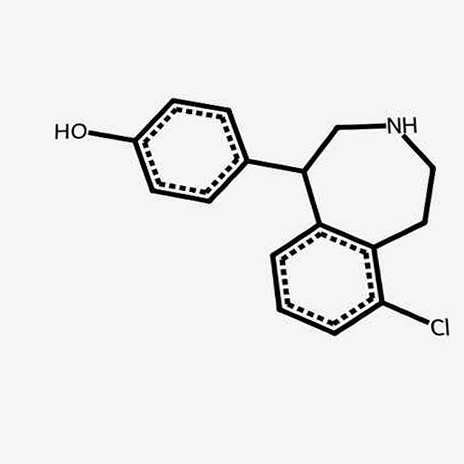 Oc1ccc(C2CNCCc3c(Cl)cccc32)cc1